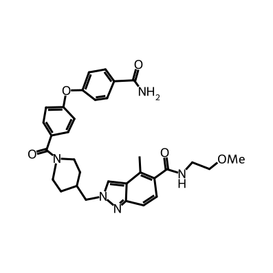 COCCNC(=O)c1ccc2nn(CC3CCN(C(=O)c4ccc(Oc5ccc(C(N)=O)cc5)cc4)CC3)cc2c1C